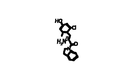 Cc1cc(O)cc(Cl)c1C[C@@H](N)C(=O)N1CCc2ccccc21